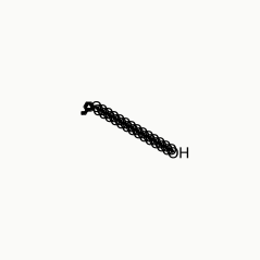 C=Cc1cccc(OOOOOOOOOOOOOOOOOOOOOOOOOOOO)c1